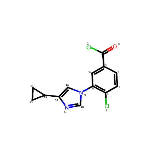 O=C(Cl)c1ccc(Cl)c(-n2cnc(C3CC3)c2)c1